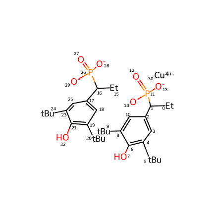 CCC(c1cc(C(C)(C)C)c(O)c(C(C)(C)C)c1)P(=O)([O-])[O-].CCC(c1cc(C(C)(C)C)c(O)c(C(C)(C)C)c1)P(=O)([O-])[O-].[Cu+4]